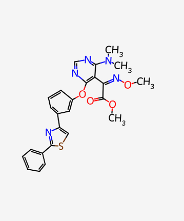 CON=C(C(=O)OC)c1c(Oc2cccc(-c3csc(-c4ccccc4)n3)c2)ncnc1N(C)C